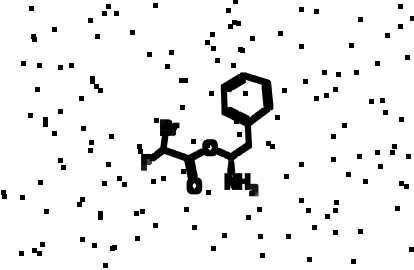 N[C@H](Cc1ccccc1)OC(=O)C(F)Br